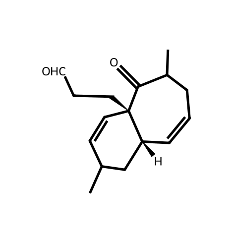 CC1C=C[C@]2(CCC=O)C(=O)C(C)CC=C[C@@H]2C1